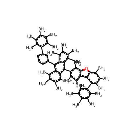 Bc1c(B)c(B)c(-c2cccc(-c3c4c(B)c(B)c(B)c(B)c4c(-c4c(B)c(B)c5c(oc6c(B)c(B)c(B)c(-c7c(B)c(B)c(B)c(B)c7B)c65)c4B)c4c(B)c(B)c(B)c(B)c34)c2)c(B)c1B